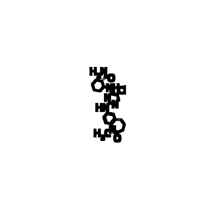 CN1C(=O)CCCc2cc(Nc3ncc(Cl)c(N[C@H]4CCCC[C@@H]4C(N)=O)n3)ccc21